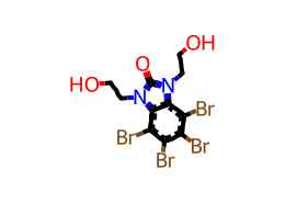 O=c1n(CCO)c2c(Br)c(Br)c(Br)c(Br)c2n1CCO